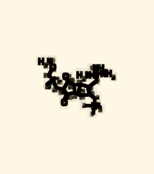 C[N+](C)(C)CC1=C(C[N+](N)(N)N)C2CC1C1C(=O)C(C[N+](C)(C)CON)C(=O)C21